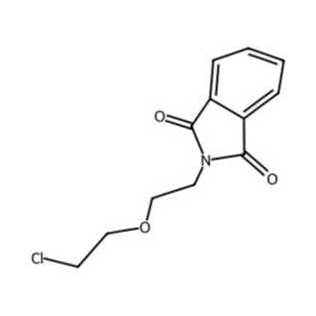 O=C1c2ccccc2C(=O)N1CCOCCCl